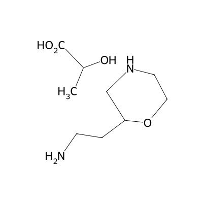 CC(O)C(=O)O.NCCC1CNCCO1